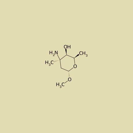 CO[C@@H]1C[C@@](C)(N)[C@@H](O)[C@@H](C)O1